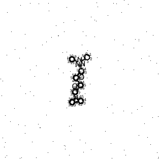 C1=CCCC(c2nc(-c3ccccc3)nc(C3C=c4c(oc5c(-c6cccc7c6oc6ccc(-n8c9ccccc9c9ccccc98)cc67)cccc45)=CC3)n2)=C1